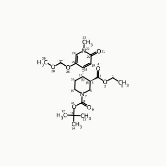 CCOC(=O)[C@H]1CN(C(=O)OC(C)(C)C)CC[C@@H]1c1cc(=O)n(C)cc1OCOC